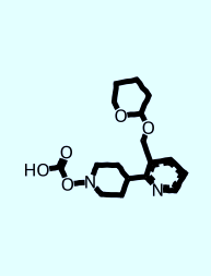 O=C(O)ON1CCC(c2ncccc2COC2CCCCO2)CC1